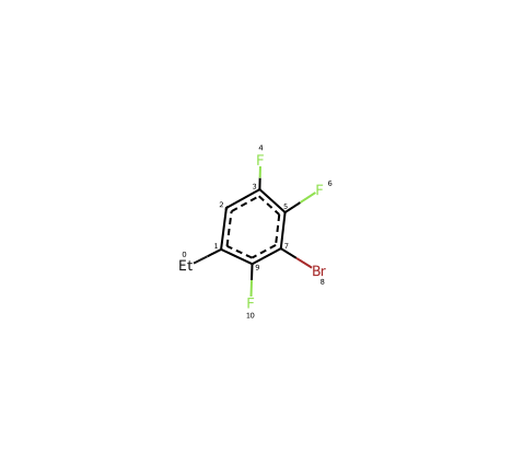 CCc1cc(F)c(F)c(Br)c1F